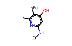 CCCCc1c(O)cc(NCC)nc1C